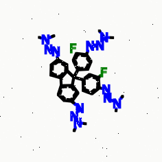 CN(C)N=Nc1ccc2c(c1)C(c1ccc(N=NN(C)C)c(F)c1)(c1ccc(N=NN(C)C)c(F)c1)c1cc(N=NN(C)C)ccc1-2